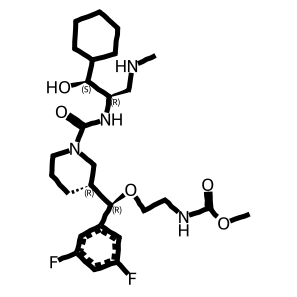 CNC[C@@H](NC(=O)N1CCC[C@@H]([C@@H](OCCNC(=O)OC)c2cc(F)cc(F)c2)C1)[C@@H](O)C1CCCCC1